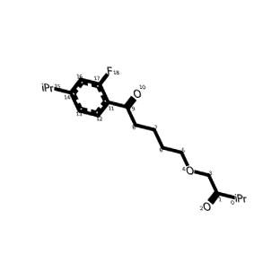 CC(C)C(=O)COCCCCC(=O)c1ccc(C(C)C)cc1F